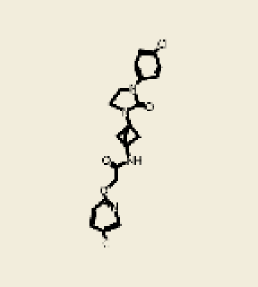 O=C(COc1ccc(Cl)cn1)NC12CC(N3CCN(c4ccc(Cl)cc4)C3=O)(C1)C2